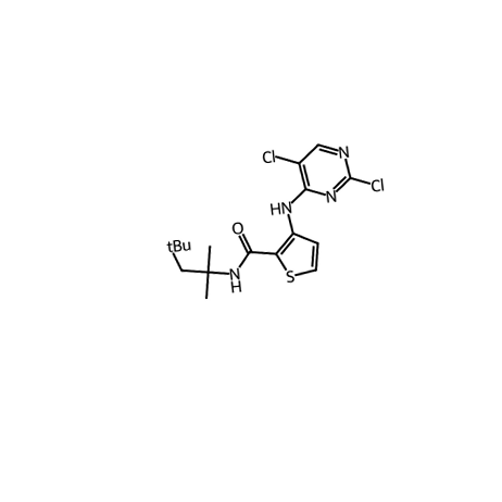 CC(C)(C)CC(C)(C)NC(=O)c1sccc1Nc1nc(Cl)ncc1Cl